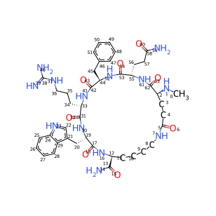 CN[C@H]1CCC(=O)NCCCC[C@@H](C(N)=O)NC(=O)[C@H](Cc2c[nH]c3ccccc23)NC(=O)[C@H](CCCNC(=N)N)NC(=O)[C@@H](Cc2ccccc2)NC(=O)[C@H](CCC(N)=O)NC1=O